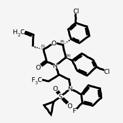 C=CC[C@@H]1O[C@H](c2cccc(Cl)c2)[C@@H](c2ccc(Cl)cc2)N(C(CN(c2ccccc2F)S(=O)(=O)C2CC2)CC(F)(F)F)C1=O